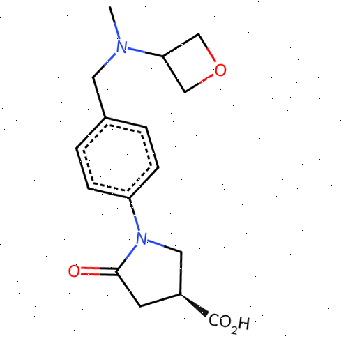 CN(Cc1ccc(N2C[C@@H](C(=O)O)CC2=O)cc1)C1COC1